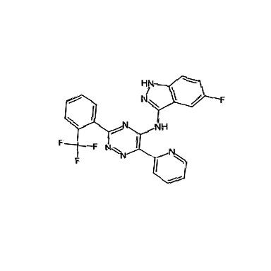 Fc1ccc2[nH]nc(Nc3nc(-c4ccccc4C(F)(F)F)nnc3-c3ccccn3)c2c1